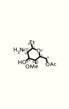 CCC1OC(COC(C)=O)[C@@H](OC)C(O)[C@@H]1N